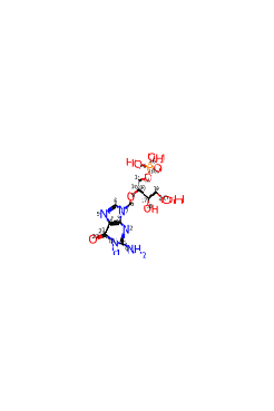 Nc1nc2c(ncn2CO[C@H](COP(=O)(O)O)C(O)CO)c(=O)[nH]1